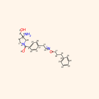 N[C@@]1(CO)CCN(C(=O)c2ccc(C/C=N/OCCCc3ccccc3)cc2)C1